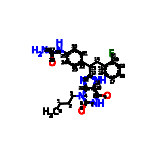 CCCCn1c(=O)[nH]c(=O)c2[nH]c(C(Cc3ccccc3F)c3ccc(NC(N)=O)cc3)nc21